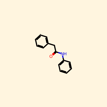 O=C(Cc1c[c]ccc1)Nc1ccccc1